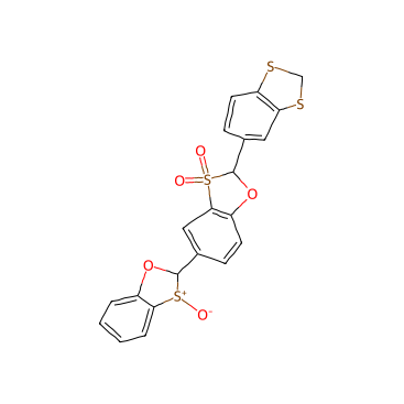 O=S1(=O)c2cc(C3Oc4ccccc4[S+]3[O-])ccc2OC1c1ccc2c(c1)SCS2